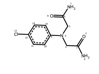 NC(=O)CN(CC(N)=O)c1ccc(Cl)cc1